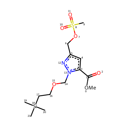 COC(=O)c1cc(COS(C)(=O)=O)nn1COCC[Si](C)(C)C